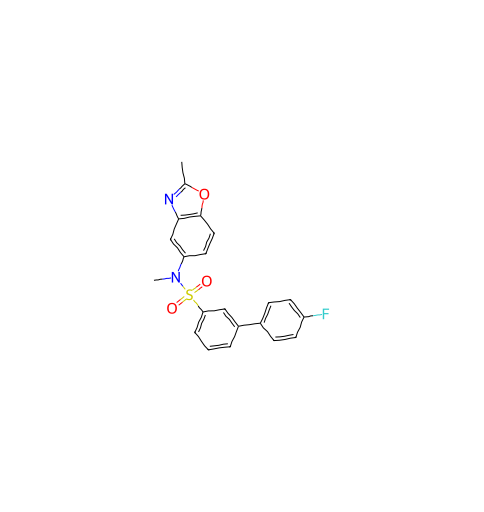 Cc1nc2cc(N(C)S(=O)(=O)c3cccc(-c4ccc(F)cc4)c3)ccc2o1